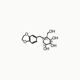 OC[C@H]1[C@@H](O)[C@H](O)[C@@H](O)CN1Cc1ccc2c(c1)OCCO2